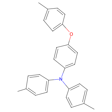 Cc1ccc(Oc2ccc(N(c3ccc(C)cc3)c3ccc(C)cc3)cc2)cc1